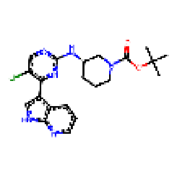 CC(C)(C)OC(=O)N1CCC[C@@H](Nc2ncc(Cl)c(-c3c[nH]c4ncccc34)n2)C1